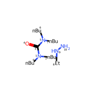 CCCCN(CCCC)C(=O)N(CCCC)CCCC.CCNN